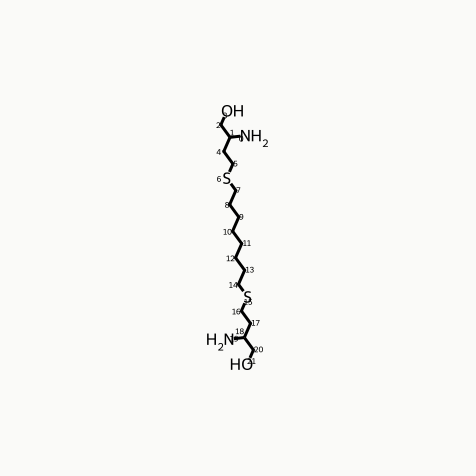 NC(CO)CCSCCCCCCCCSCCC(N)CO